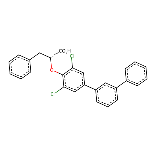 O=C(O)[C@@H](Cc1ccccc1)Oc1c(Cl)cc(-c2cccc(-c3ccccc3)c2)cc1Cl